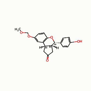 COCOc1ccc2c(c1)[C@H]1CC(=O)C[C@H]1[C@@H](c1ccc(O)cc1)O2